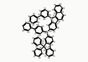 c1ccc(-c2ccc(N(c3ccc4c(c3)C(c3ccccc3)(c3ccccc3)c3ccccc3-4)c3ccc4c5ccc6ccccc6c5n(-c5cccc(-c6ccccc6)c5)c4c3)cc2)cc1